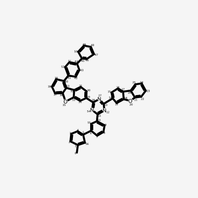 Cc1cccc(-c2cccc(-c3nc(-c4ccc5c(c4)oc4ccccc45)nc(-c4ccc5c(c4)oc4cccc(-c6ccc(-c7ccccc7)cc6)c45)n3)c2)c1